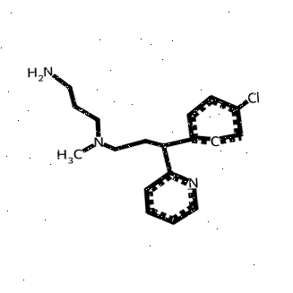 CN(CCCN)CCC(c1ccc(Cl)cc1)c1ccccn1